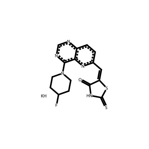 O=C1NC(=S)SC1=Cc1ccc2ncnc(N3CCC(F)CC3)c2n1.[KH]